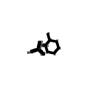 CC1CCCCN1.O=S(=O)=O